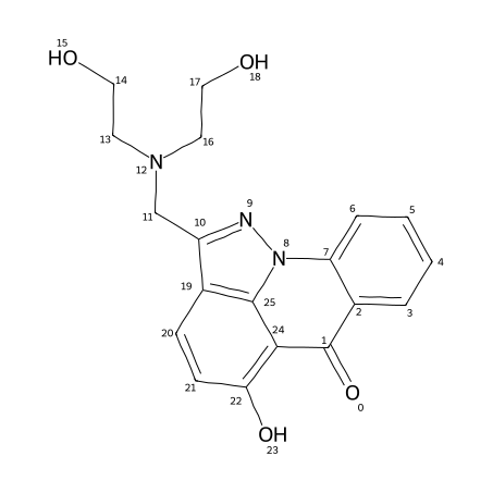 O=c1c2ccccc2n2nc(CN(CCO)CCO)c3ccc(O)c1c32